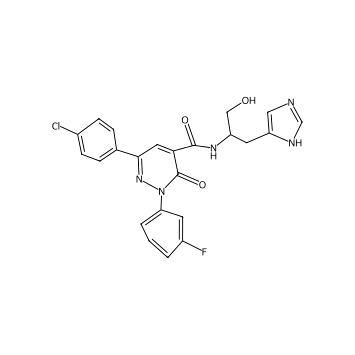 O=C(NC(CO)Cc1cnc[nH]1)c1cc(-c2ccc(Cl)cc2)nn(-c2cccc(F)c2)c1=O